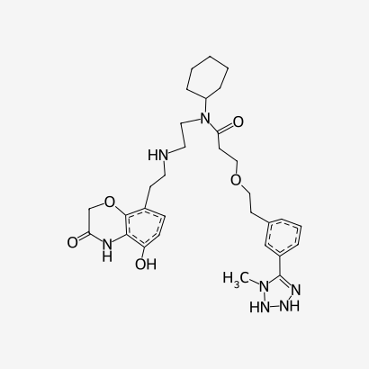 CN1NNN=C1c1cccc(CCOCCC(=O)N(CCNCCc2ccc(O)c3c2OCC(=O)N3)C2CCCCC2)c1